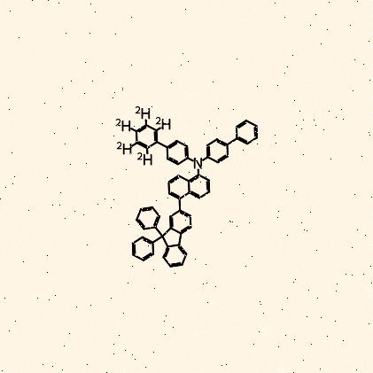 [2H]c1c([2H])c([2H])c(-c2ccc(N(c3ccc(-c4ccccc4)cc3)c3cccc4c(-c5ccc6c(c5)C(c5ccccc5)(c5ccccc5)c5ccccc5-6)cccc34)cc2)c([2H])c1[2H]